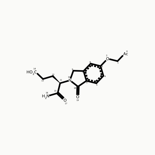 CC(=O)COc1ccc2c(c1)CN([C@H](CCC(=O)O)C(N)=O)C2=O